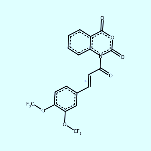 O=C(/C=C/c1ccc(OC(F)(F)F)c(OC(F)(F)F)c1)n1c(=O)oc(=O)c2ccccc21